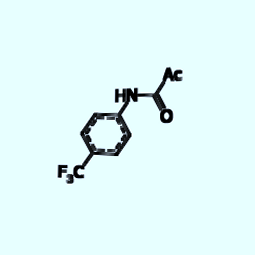 CC(=O)C(=O)Nc1ccc(C(F)(F)F)cc1